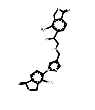 Cc1c(C(O)CNCc2cnn(-c3ccc4c(c3C)COC4=O)c2)ccc2c1COC2=O